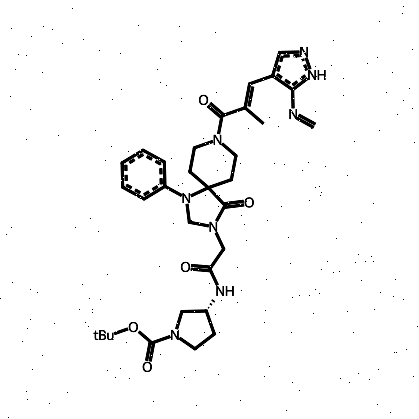 C=Nc1[nH]ncc1/C=C(\C)C(=O)N1CCC2(CC1)C(=O)N(CC(=O)N[C@@H]1CCN(C(=O)OC(C)(C)C)C1)CN2c1ccccc1